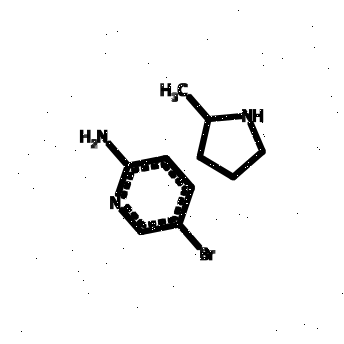 CC1CCCN1.Nc1ccc(Br)cn1